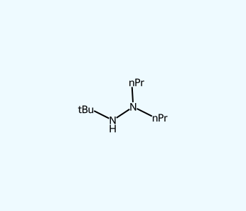 CCCN(CCC)NC(C)(C)C